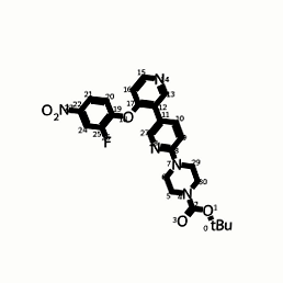 CC(C)(C)OC(=O)N1CCN(c2ccc(-c3cnccc3Oc3ccc([N+](=O)[O-])cc3F)cn2)CC1